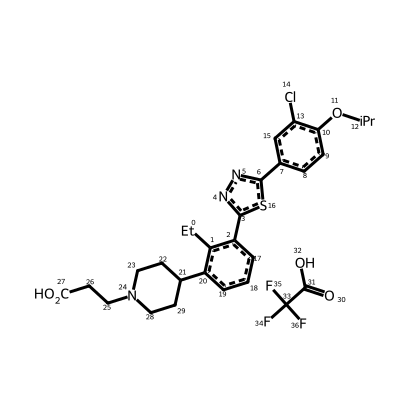 CCc1c(-c2nnc(-c3ccc(OC(C)C)c(Cl)c3)s2)cccc1C1CCN(CCC(=O)O)CC1.O=C(O)C(F)(F)F